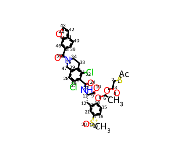 CC(=O)SCC(=O)OC(C)OC(=O)[C@H](Cc1cccc([S+](C)[O-])c1)NC(=O)c1c(Cl)cc2c(c1Cl)CCN(C(=O)c1ccc3ccoc3c1)C2